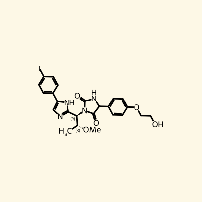 CO[C@H](C)[C@@H](c1ncc(-c2ccc(I)cc2)[nH]1)N1C(=O)NC(c2ccc(OCCO)cc2)C1=O